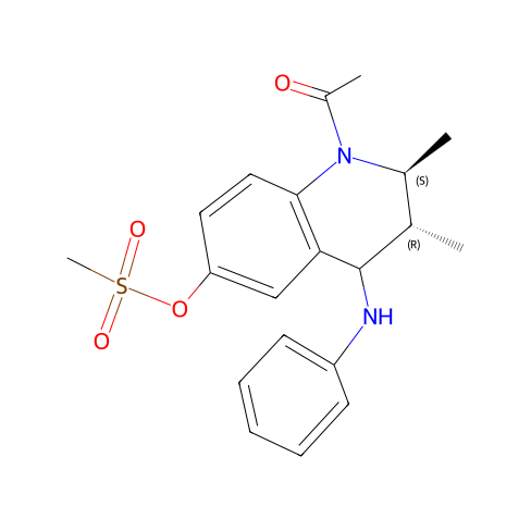 CC(=O)N1c2ccc(OS(C)(=O)=O)cc2C(Nc2ccccc2)[C@@H](C)[C@@H]1C